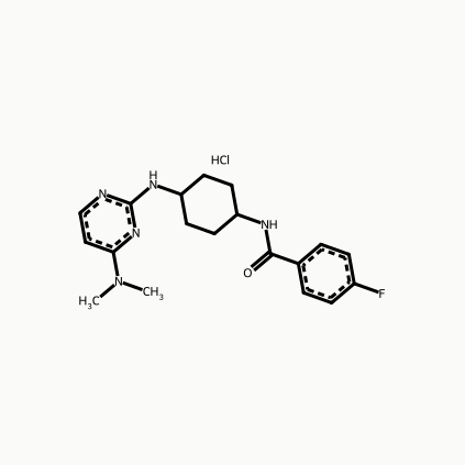 CN(C)c1ccnc(NC2CCC(NC(=O)c3ccc(F)cc3)CC2)n1.Cl